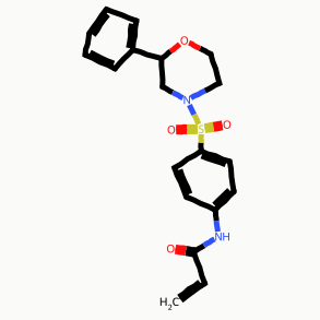 C=CC(=O)Nc1ccc(S(=O)(=O)N2CCOC(c3ccccc3)C2)cc1